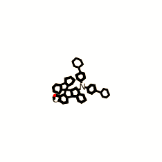 c1ccc2c(c1)-c1ccccc1C21c2cc(N(c3ccc(C4CCCCC4)cc3)c3ccc(C4CCCCC4)cc3)c3ccccc3c2-c2ccc3ccccc3c21